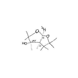 [2H][C@]12OC(C)(C)C(C)(C)[C@@]1(C)[C@@](C)(O)C(C)(C)O2